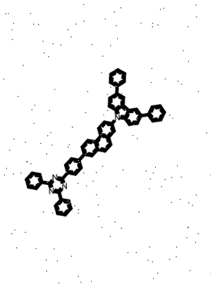 c1ccc(-c2ccc3c(c2)c2cc(-c4ccccc4)ccc2n3-c2ccc3c(ccc4cc(-c5ccc(-c6nc(-c7ccccc7)nc(-c7ccccc7)n6)cc5)ccc43)c2)cc1